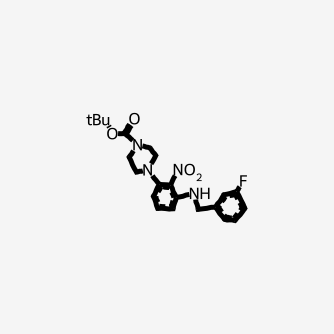 CC(C)(C)OC(=O)N1CCN(c2cccc(NCc3cccc(F)c3)c2[N+](=O)[O-])CC1